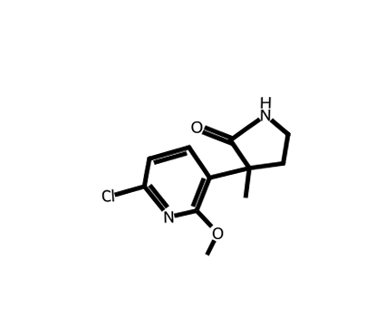 COc1nc(Cl)ccc1C1(C)CCNC1=O